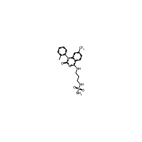 Cc1ccccc1-n1c(=O)nc(NCCCNS(N)(=O)=O)c2ccc(C(F)(F)F)cc21